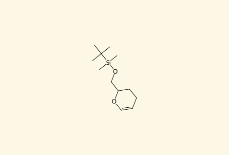 CC(C)(C)[Si](C)(C)OCC1CCC=CO1